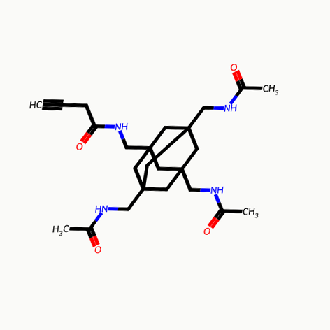 C#CCC(=O)NCC12CC3(CNC(C)=O)CC(CNC(C)=O)(CC(CNC(C)=O)(C3)C1)C2